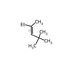 CC/C(C)=C/C(C)(C)C